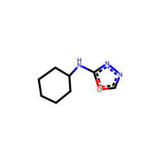 [c]1nnc(NC2CCCCC2)o1